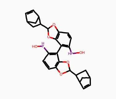 OPc1ccc2c(c1-c1c(PO)ccc3c1OC(C1CC4C=CC1C4)O3)OC(C1CC3C=CC1C3)O2